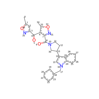 Cc1cc(C(=O)c2c(C(=O)N3CCC(c4cn(Cc5ccccc5)c5ccccc45)C3)noc2C)no1